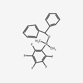 C[Si](C)(OC(c1ccccc1)c1ccccc1)c1c(F)c(F)c(F)c(F)c1F